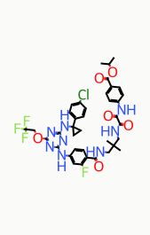 CC(C)OC(=O)c1ccc(NC(=O)C(=O)NCC(C)(C)CNC(=O)c2ccc(Nc3nc(NC4(c5ccc(Cl)cc5)CC4)nc(OCC(F)(F)F)n3)cc2F)cc1